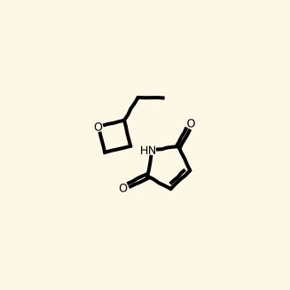 CCC1CCO1.O=C1C=CC(=O)N1